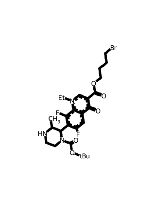 CCn1cc(C(=O)OCCCCBr)c(=O)c2cc(F)c(C3C(C)NCCN3C(=O)OC(C)(C)C)c(F)c21